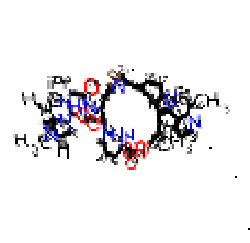 CCn1c(-c2cccnc2[C@H](C)OC)c2c3cc(ccc31)-c1csc(n1)C[C@H](NC(=O)[C@H](C(C)C)N(C)C(=O)N1C[C@@H]3C[C@H]1CN3C)C(=O)N1CCC[C@@](O)(N1)C(=O)OCC(C)(C)C2